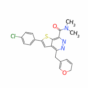 CN(C)C(=O)c1nnc(CC2=COCC=C2)c2cc(-c3ccc(Cl)cc3)sc12